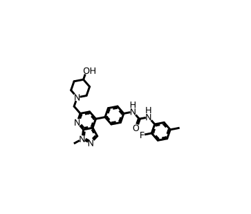 Cc1ccc(F)c(NC(=O)Nc2ccc(-c3cc(CN4CCC(O)CC4)nc4c3cnn4C)cc2)c1